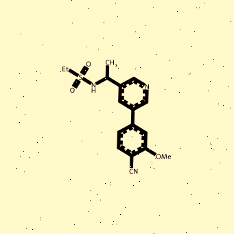 CCS(=O)(=O)NC(C)c1cncc(-c2ccc(C#N)c(OC)c2)c1